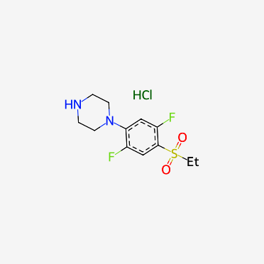 CCS(=O)(=O)c1cc(F)c(N2CCNCC2)cc1F.Cl